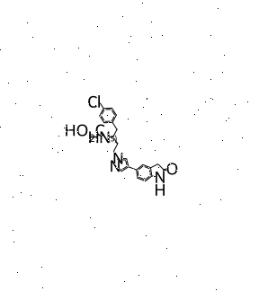 O=C(O)N[C@H](CCn1cc(-c2ccc3c(c2)CC(=O)N3)cn1)Cc1ccc(Cl)cc1